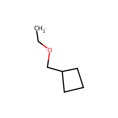 [CH2]COCC1CCC1